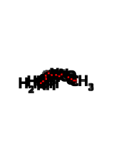 CCOC(=O)CCON=C1CCN(c2ncc(-c3cccc(COC(O)NC(=N)N)c3F)cn2)CC1